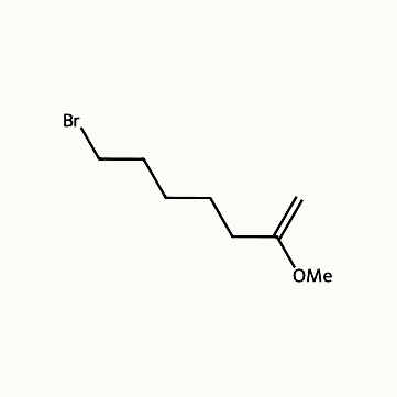 C=C(CCCCCBr)OC